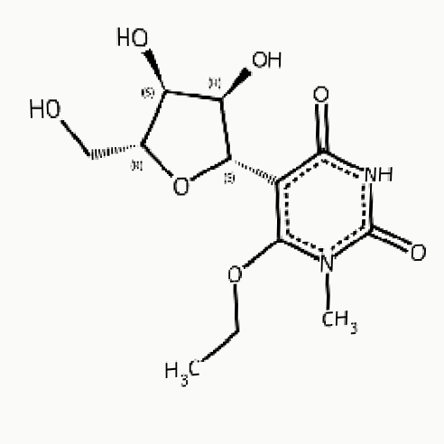 CCOc1c([C@@H]2O[C@H](CO)[C@@H](O)[C@H]2O)c(=O)[nH]c(=O)n1C